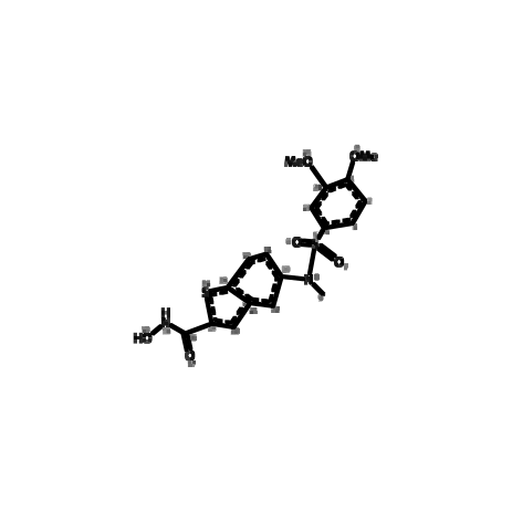 COc1ccc(S(=O)(=O)N(C)c2ccc3sc(C(=O)NO)cc3c2)cc1OC